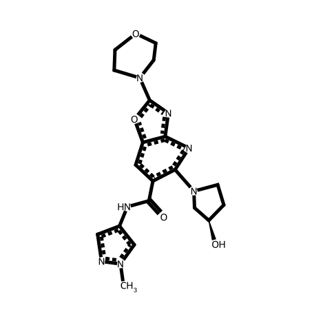 Cn1cc(NC(=O)c2cc3oc(N4CCOCC4)nc3nc2N2CC[C@@H](O)C2)cn1